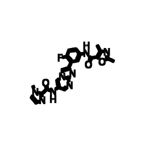 Cc1nc(C)c(C(=O)Nc2ccc(F)c(-c3cn4cc(NC(=O)c5nccn5C)cnc4n3)c2)o1